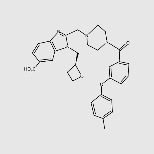 Cc1ccc(Oc2cccc(C(=O)N3CCN(Cc4nc5ccc(C(=O)O)cc5n4C[C@@H]4CCO4)CC3)c2)cc1